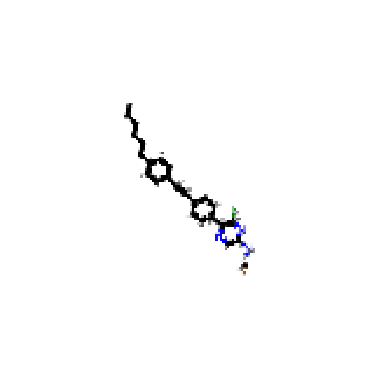 CCCCCCc1ccc(C#Cc2ccc(-c3ncc(N=C=S)nc3F)cc2)cc1